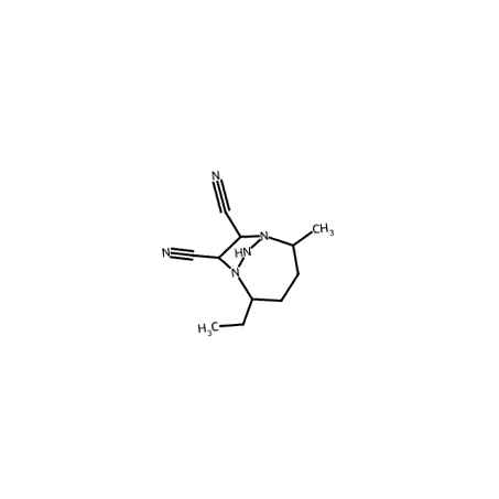 CCC1CCC(C)N2NN1C(C#N)C2C#N